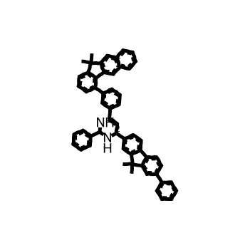 CC1(C)c2cc(-c3ccccc3)ccc2-c2ccc(C(/C=C/c3cccc(-c4cccc5c4-c4cc6ccccc6cc4C5(C)C)c3)NC(N)c3ccccc3)cc21